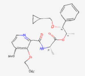 COc1ccnc(C(=O)N[C@@H](C)C(=O)O[C@@H](C)[C@H](OCC2CC2)c2ccccc2)c1OCOC(C)=O